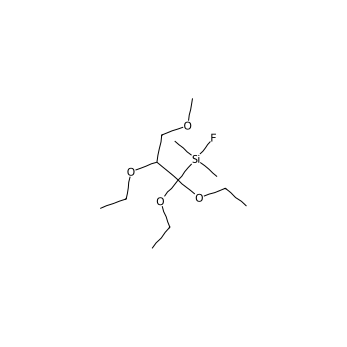 CCOC(COC)C(OCC)(OCC)[Si](C)(C)F